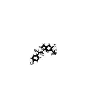 O=C(C(Br)c1ccc(Cl)cc1)n1ccc2cc(F)c(C(F)(F)F)cc21